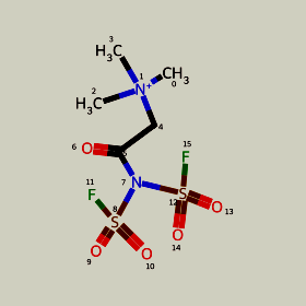 C[N+](C)(C)CC(=O)N(S(=O)(=O)F)S(=O)(=O)F